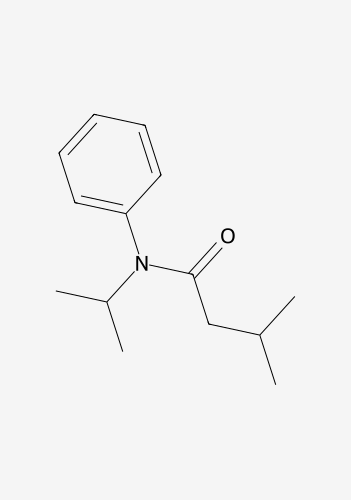 CC(C)CC(=O)N(c1ccccc1)C(C)C